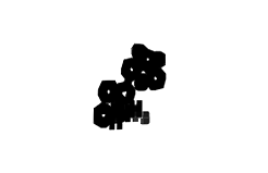 CC1([PH](O)(c2ccccc2)c2ccccc2)C=CC(c2cccc3c2Oc2ccccc2C32c3ccccc3-c3ccccc32)=CC1